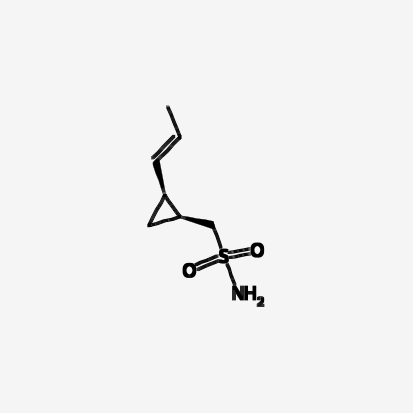 C/C=C/[C@@H]1C[C@@H]1CS(N)(=O)=O